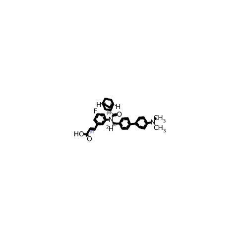 [2H][C@@H](c1ccc(-c2ccc(N(C)C)cc2)cc1)N(C(=O)[C@@H]1C[C@H]2CC[C@@H]1C2)c1cc(F)cc(/C=C/C(=O)O)c1